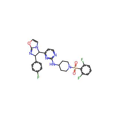 O=S(=O)(c1c(F)cccc1F)N1CCC(Nc2nccc(C3C(c4ccc(F)cc4)N=C4OC=CN43)n2)CC1